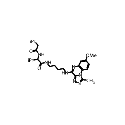 COc1ccc2c(c1)nc(NCCCCNC(=O)C(NC(=O)CC(C)C)C(C)C)c1nnc(C)n12